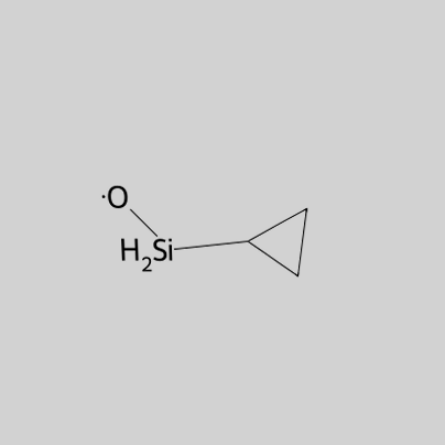 [O][SiH2]C1CC1